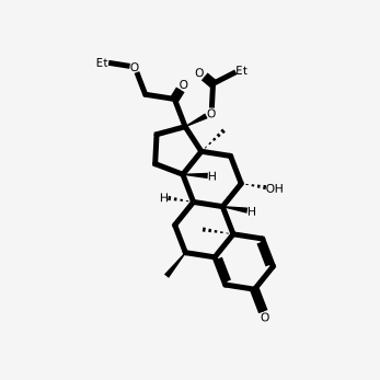 CCOCC(=O)[C@@]1(OC(=O)CC)CC[C@H]2[C@@H]3C[C@H](C)C4=CC(=O)C=C[C@]4(C)[C@H]3[C@@H](O)C[C@@]21C